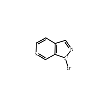 [O-][s+]1ncc2ccncc21